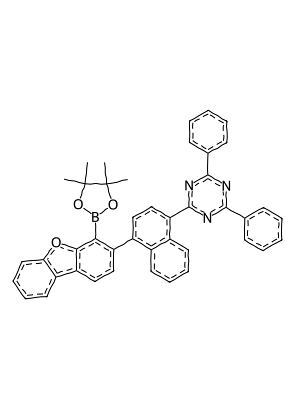 CC1(C)OB(c2c(-c3ccc(-c4nc(-c5ccccc5)nc(-c5ccccc5)n4)c4ccccc34)ccc3c2oc2ccccc23)OC1(C)C